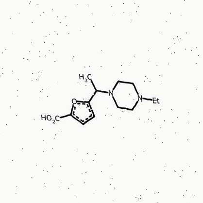 CCN1CCN(C(C)c2ccc(C(=O)O)o2)CC1